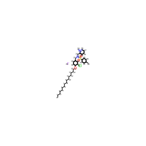 CCCCCCCCCCCCCCCCOc1ccc(CN(Cc2cccc[n+]2C)S(=O)(=O)c2ccc(C)cc2)cc1Cl.[I-]